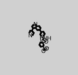 O=[N+]([O-])c1cccc(S(=O)(=O)Nc2ccc(-c3ccc4nccc(-c5ccncc5)c4c3)cn2)c1